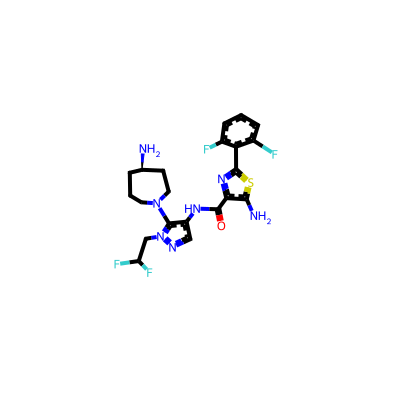 Nc1sc(-c2c(F)cccc2F)nc1C(=O)Nc1cnn(CC(F)F)c1N1CCC[C@@H](N)CC1